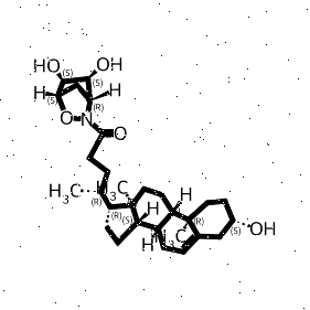 C[C@H](CCC(=O)N1O[C@H]2C[C@@H]1[C@H](O)[C@@H]2O)[C@H]1CC[C@H]2[C@@H]3CC=C4C[C@@H](O)CC[C@]4(C)[C@H]3CC[C@]12C